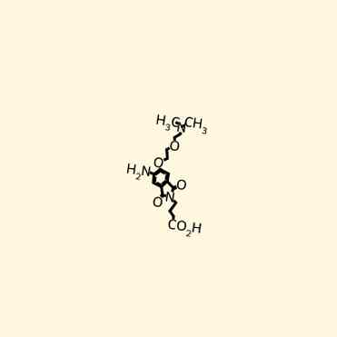 CN(C)CCOCCOc1cc2c(cc1N)C(=O)N(CCCC(=O)O)C2=O